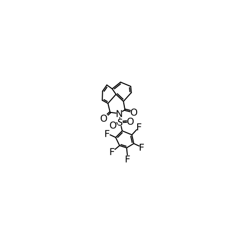 O=C1c2cccc3cccc(c23)C(=O)N1S(=O)(=O)c1c(F)c(F)c(F)c(F)c1F